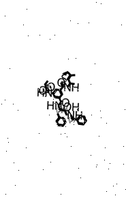 CCS(=O)(=O)Nc1cc(C(=O)NC(C)c2sccc2C)cc(C(=O)N[C@@H](Cc2ccccc2)[C@H](O)CN[C@@H](C)c2ccccc2)c1